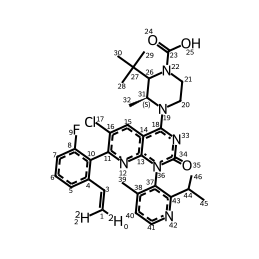 [2H]C([2H])=Cc1cccc(F)c1-c1nc2c(cc1Cl)c(N1CCN(C(=O)O)C(C(C)(C)C)[C@@H]1C)nc(=O)n2-c1c(C)ccnc1C(C)C